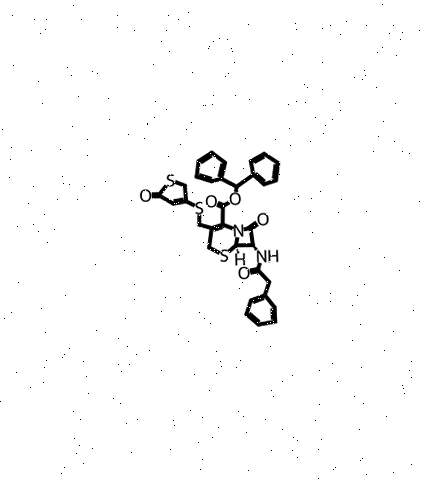 O=C(Cc1ccccc1)N[C@@H]1C(=O)N2C(C(=O)OC(c3ccccc3)c3ccccc3)=C(CSC3=CC(=O)SC3)CS[C@H]12